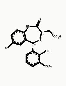 COc1cccc([C@H]2O[C@H](CC(=O)O)C(=S)Nc3ccc(Br)cc32)c1C